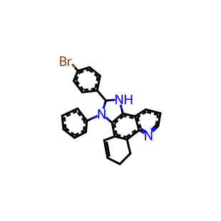 Brc1ccc(C2Nc3c(c4c(c5ncccc35)CCC=C4)N2c2ccccc2)cc1